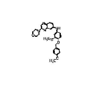 COc1ccc(COc2ccc(Nc3ccc4ncc(N5CCOCC5)nc4c3)cc2OC)cc1